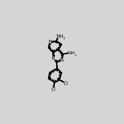 Nc1cc2c(N)nc(-c3ccc(Cl)c(Cl)c3)nc2cn1